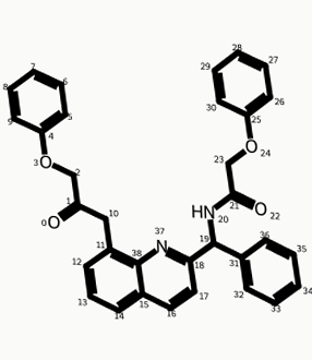 O=C(COc1ccccc1)Cc1cccc2ccc(C(NC(=O)COc3ccccc3)c3ccccc3)nc12